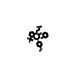 CNCCN1C(=O)[C@H](Cc2ccccc2)[C@H](c2ccc(OC)cc2)Cc2c1cccc2C(F)(F)F